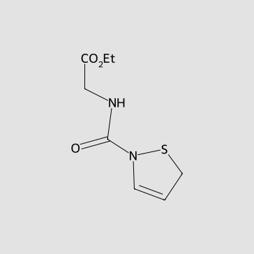 CCOC(=O)CNC(=O)N1C=CCS1